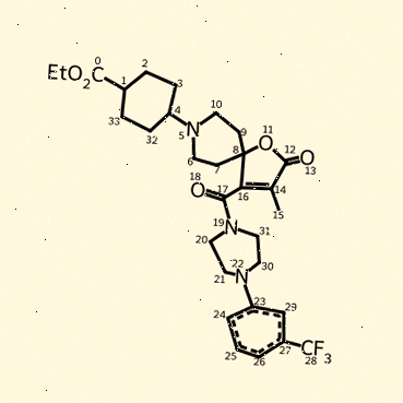 CCOC(=O)C1CCC(N2CCC3(CC2)OC(=O)C(C)=C3C(=O)N2CCN(c3cccc(C(F)(F)F)c3)CC2)CC1